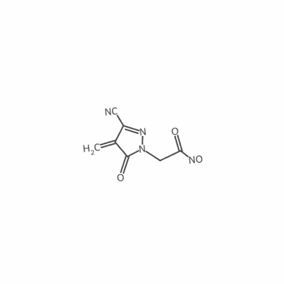 C=C1C(=O)N(CC(=O)N=O)N=C1C#N